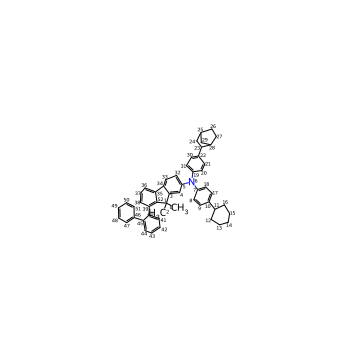 CC1(C)c2cc(N(c3ccc(C4CCCCC4)cc3)c3ccc(C4CC5CCC4C5)cc3)ccc2-c2cccc(-c3ccccc3-c3ccccc3)c21